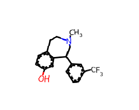 CN1CCc2ccc(O)cc2C(c2cccc(C(F)(F)F)c2)C1